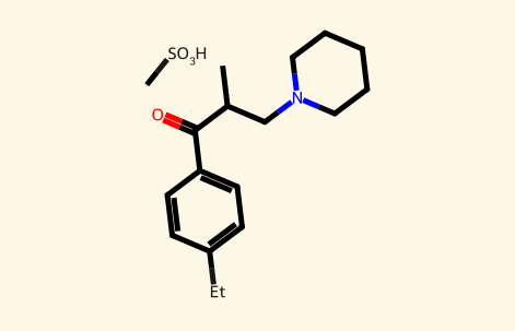 CCc1ccc(C(=O)C(C)CN2CCCCC2)cc1.CS(=O)(=O)O